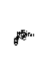 CC(C)n1nc(CN2CCOCC2)nc1C(=O)OC(C)(C)C